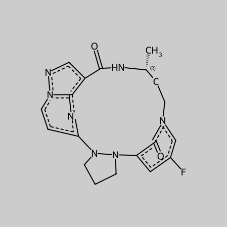 C[C@@H]1CCn2cc(F)cc(c2=O)N2CCCN2c2ccn3ncc(c3n2)C(=O)N1